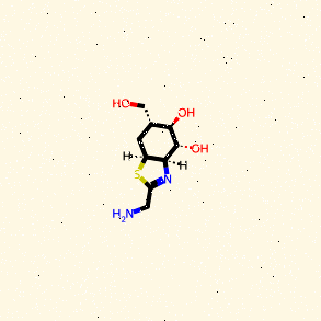 NCC1=N[C@@H]2[C@@H](O)[C@H](O)[C@@H](CO)C[C@@H]2S1